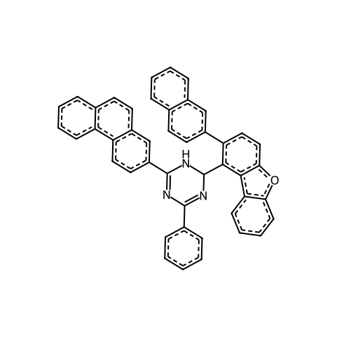 c1ccc(C2=NC(c3c(-c4ccc5ccccc5c4)ccc4oc5ccccc5c34)NC(c3ccc4c(ccc5ccccc54)c3)=N2)cc1